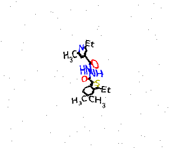 CCc1cc(C(=O)NNC(=O)c2sc(CC)c3c2CCC(C)(C)C3)cc(C)n1